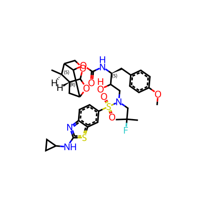 COc1ccc(C[C@H](NC(=O)OC2C3C[C@H]4C(OCC2[C@@H]4C)O3)C(O)CN(CC(C)(C)F)S(=O)(=O)c2ccc3nc(NC4CC4)sc3c2)cc1